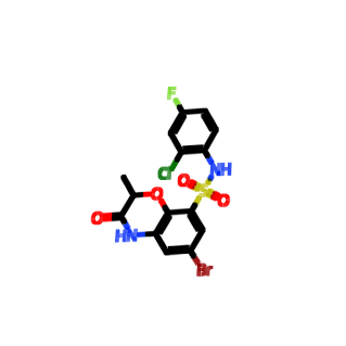 CC1Oc2c(cc(Br)cc2S(=O)(=O)Nc2ccc(F)cc2Cl)NC1=O